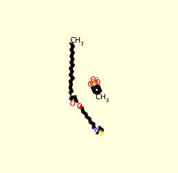 CCCCCCCCCCCCCCCCCC[C@@H]1CO[C@@H](COCCCCCCCC[n+]2ccsc2)C1.Cc1ccc(S(=O)(=O)[O-])cc1